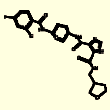 O=C(Nc1ccc(NC(=O)c2nc[nH]c2C(=O)NCC2CCOC2)cc1)c1ccc(F)cc1Cl